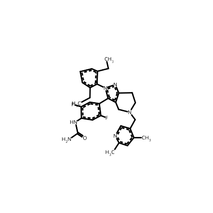 CCc1cccc(CC)c1-n1nc2c(c1-c1cc(F)c(NC(N)=O)cc1F)CN(Cc1cnc(C)cc1C)CC2